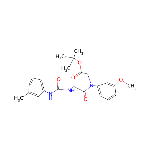 COc1cccc(N(CC(=O)OC(C)(C)C)C(=O)CNC(=O)Nc2cccc(C)c2)c1